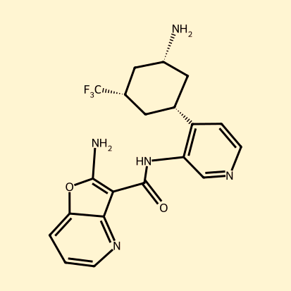 Nc1oc2cccnc2c1C(=O)Nc1cnccc1[C@H]1C[C@@H](N)C[C@@H](C(F)(F)F)C1